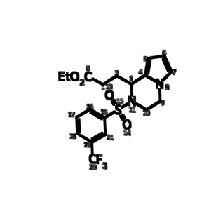 CCOC(=O)CCC1c2cccn2CCN1S(=O)(=O)c1cccc(C(F)(F)F)c1